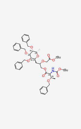 C[C@@H]1O[C@@H](CC(COC(=O)[C@@H](NC(=O)OC(C)(C)C)[C@@H](C)OCc2ccccc2)OCC(=O)OC(C)(C)C)[C@@H](OCc2ccccc2)[C@H](OCc2ccccc2)[C@@H]1OCc1ccccc1